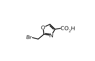 O=C(O)c1coc(CBr)n1